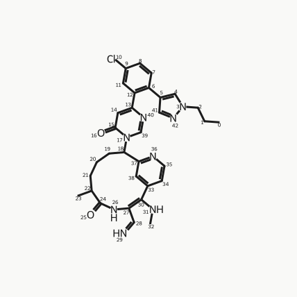 CCCn1cc(-c2ccc(Cl)cc2-c2cc(=O)n(C3CCCC(C)C(=O)N/C(C=N)=C(/NC)c4ccnc3c4)cn2)cn1